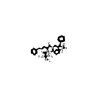 CCN(CC1=C(c2ccccc2)S(=O)(=O)NC12CCCC2)C(=O)C(CCCc1ccccc1)NC(=O)C(C)(C)N